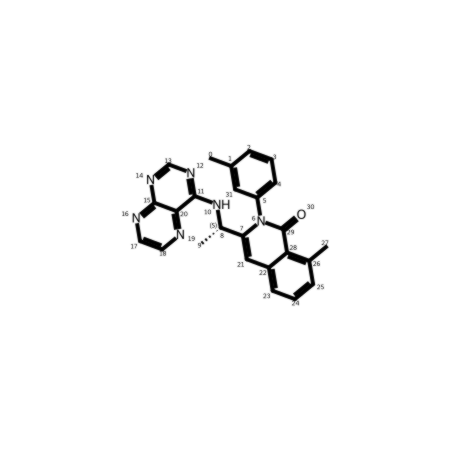 Cc1cccc(-n2c([C@H](C)Nc3ncnc4nccnc34)cc3cccc(C)c3c2=O)c1